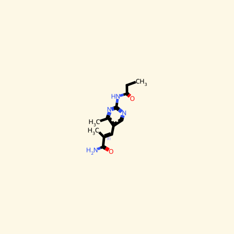 CCC(=O)Nc1ncc(/C=C(\C)C(N)=O)c(C)n1